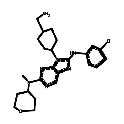 CN(c1ncc2nc(Nc3cccc(Cl)c3)n(C3CCC(CN)CC3)c2n1)C1CCOCC1